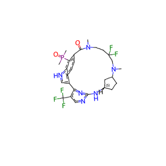 CN1CCC(F)(F)CN(C)C2CC[C@@H](C2)Nc2ncc(C(F)(F)F)c(n2)-c2c[nH]c3c(P(C)(C)=O)c(ccc23)C1=O